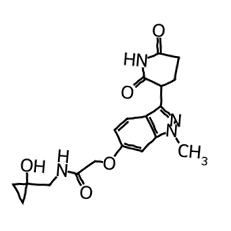 Cn1nc(C2CCC(=O)NC2=O)c2ccc(OCC(=O)NCC3(O)CC3)cc21